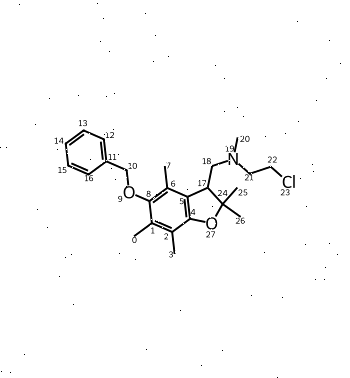 Cc1c(C)c2c(c(C)c1OCc1ccccc1)C(CN(C)CCCl)C(C)(C)O2